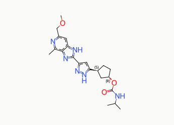 COCc1cc2[nH]c(-c3cc([C@H]4CC[C@@H](OC(=O)NC(C)C)C4)[nH]n3)nc2c(C)n1